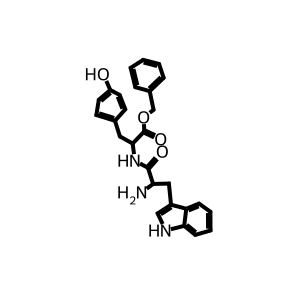 NC(Cc1c[nH]c2ccccc12)C(=O)NC(Cc1ccc(O)cc1)C(=O)OCc1ccccc1